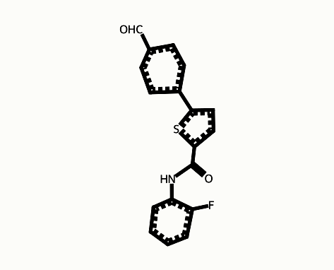 O=Cc1ccc(-c2ccc(C(=O)Nc3ccccc3F)s2)cc1